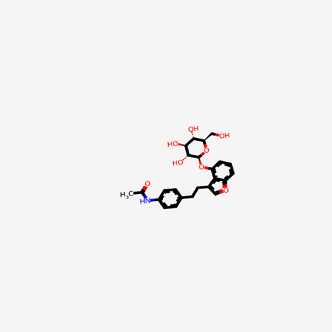 CC(=O)Nc1ccc(CCc2coc3cccc(O[C@@H]4O[C@H](CO)[C@@H](O)[C@H](O)[C@H]4O)c23)cc1